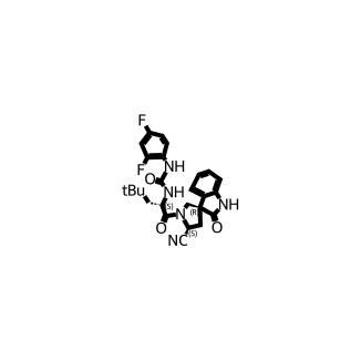 CC(C)(C)C[C@H](NC(=O)Nc1ccc(F)cc1F)C(=O)N1C[C@]2(C[C@H]1C#N)C(=O)Nc1ccccc12